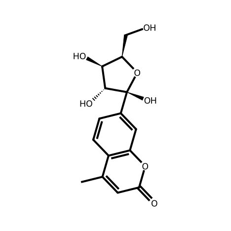 Cc1cc(=O)oc2cc([C@@]3(O)O[C@H](CO)[C@H](O)[C@H]3O)ccc12